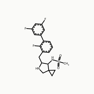 CS(=O)(=O)NC1C(Cc2cccc(-c3cc(F)cc(F)c3)c2F)NCC12CC2